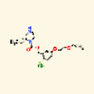 CCOCCOc1ccc(F)c(COC(=O)N2CCNC[C@H]2CC)c1.Cl